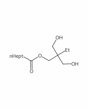 CCCCCCCC(=O)OCC(CC)(CO)CO